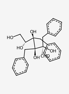 O=C[C@@](O)(Cc1ccccc1)[C@](O)(Cc1ccccc1)[C@@](O)(Cc1ccccc1)[C@H](O)CO